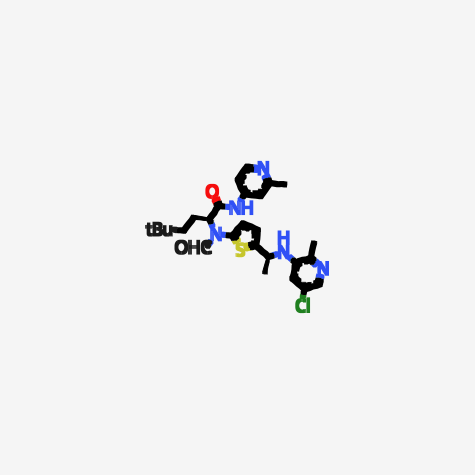 Cc1cc(NC(=O)[C@H](CCC(C)(C)C)N(C=O)c2ccc([C@H](C)Nc3cc(Cl)cnc3C)s2)ccn1